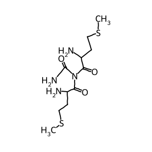 CSCCC(N)C(=O)N(C(N)=O)C(=O)C(N)CCSC